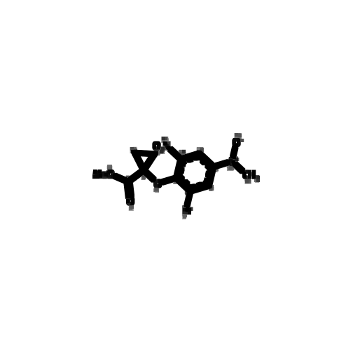 COC(=O)C1(Oc2c(Br)cc([S+](C)[O-])cc2[N+](=O)[O-])CC1